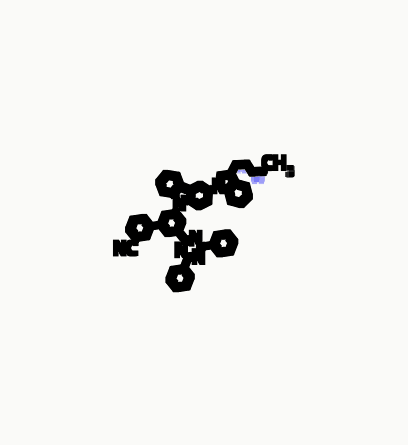 C/C=C\C=C/c1cn(-c2ccc3c(c2)c2ccccc2n3-c2cc(-c3cccc(C#N)c3)cc(-c3nc(-c4ccccc4)nc(-c4ccccc4)n3)c2)c2ccccc12